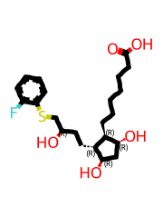 O=C(O)CCCCCC[C@@H]1[C@@H](CC[C@@H](O)CSc2ccccc2F)[C@H](O)C[C@H]1O